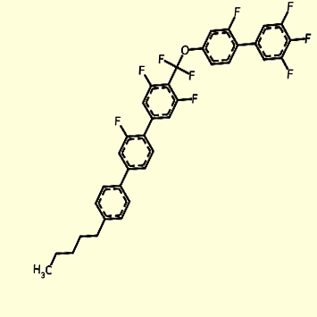 CCCCCc1ccc(-c2ccc(-c3cc(F)c(C(F)(F)Oc4ccc(-c5cc(F)c(F)c(F)c5)c(F)c4)c(F)c3)c(F)c2)cc1